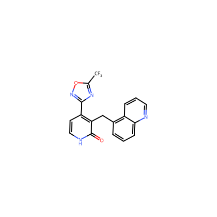 O=c1[nH]ccc(-c2noc(C(F)(F)F)n2)c1Cc1cccc2ncccc12